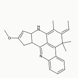 C/C=C1\C(C)=C2NC3C=C(OC)CC3c3nc4ccccc4c(c32)C1(C)C